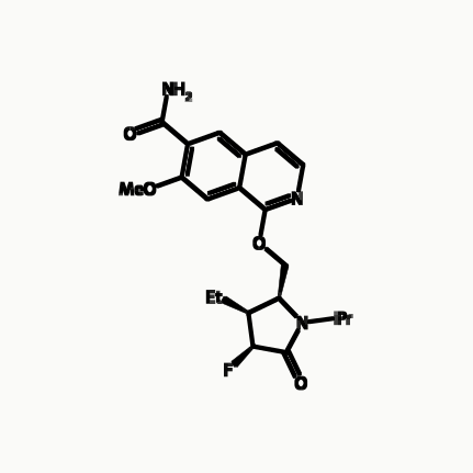 CC[C@@H]1[C@H](F)C(=O)N(C(C)C)[C@@H]1COc1nccc2cc(C(N)=O)c(OC)cc12